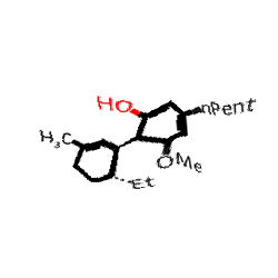 CCCCCC1=CC(OC)C([C@@H]2C=C(C)CC[C@H]2CC)C(O)=C1